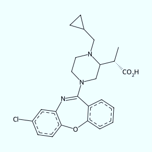 C[C@H](C(=O)O)C1CN(C2=Nc3cc(Cl)ccc3Oc3ccccc32)CCN1CC1CC1